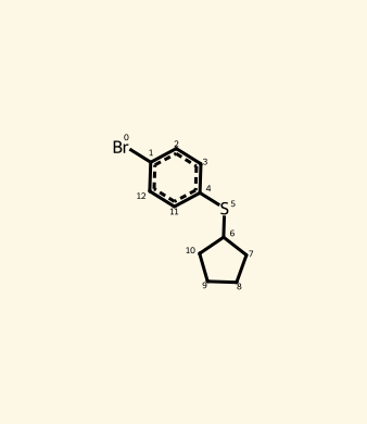 Brc1ccc(SC2CCCC2)cc1